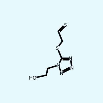 OCCn1nnnc1SCC=S